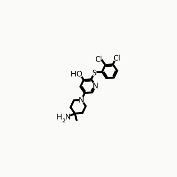 CC1(N)CCN(c2cnc(Sc3cccc(Cl)c3Cl)c(O)c2)CC1